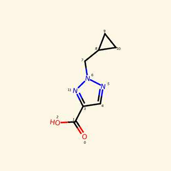 O=C(O)c1cnn(CC2CC2)n1